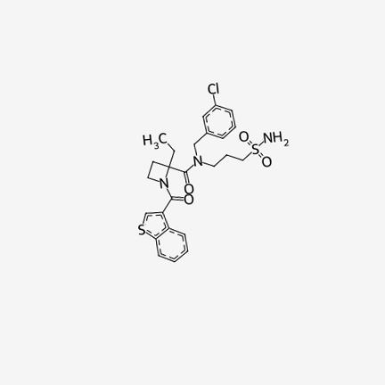 CCC1(C(=O)N(CCCS(N)(=O)=O)Cc2cccc(Cl)c2)CCN1C(=O)c1csc2ccccc12